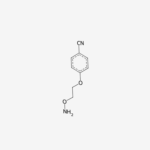 N#Cc1ccc(OCCON)cc1